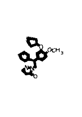 COc1ccc(C(CN2N=CCC2=O)c2ccccc2)cc1OC1CCCC1